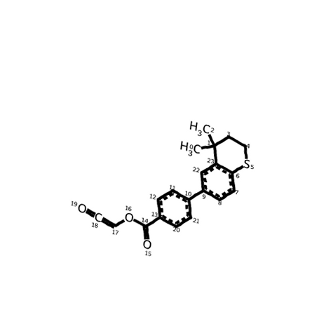 CC1(C)CCSc2ccc(-c3ccc(C(=O)OC=C=O)cc3)cc21